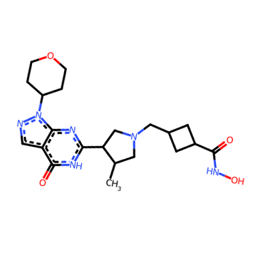 CC1CN(CC2CC(C(=O)NO)C2)CC1c1nc2c(cnn2C2CCOCC2)c(=O)[nH]1